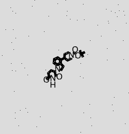 CC(C)(C)OC(=O)N1CCC(c2cccc3c2CCN3[C@@H]2CCC(=O)NC2=O)CC1